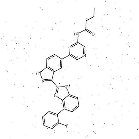 CCCC(=O)Nc1cncc(-c2ccc3[nH]nc(-c4nc5c(-c6ccccc6F)cccc5[nH]4)c3c2)c1